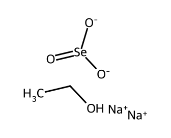 CCO.O=[Se]([O-])[O-].[Na+].[Na+]